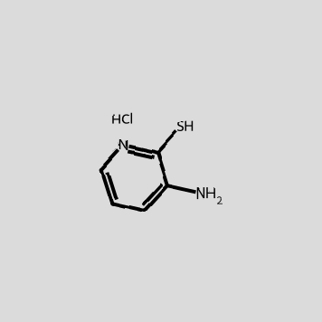 Cl.Nc1cccnc1S